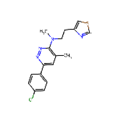 Cc1cc(-c2ccc(Cl)cc2)nnc1N(C)CCc1cs[c]n1